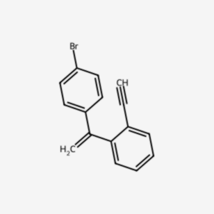 C#Cc1ccccc1C(=C)c1ccc(Br)cc1